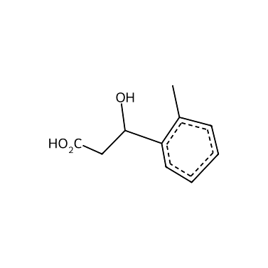 Cc1ccccc1C(O)CC(=O)O